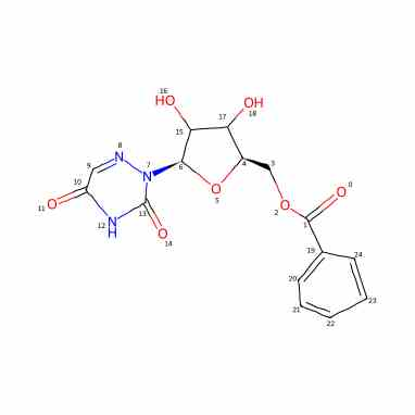 O=C(OC[C@H]1O[C@@H](n2ncc(=O)[nH]c2=O)C(O)C1O)c1ccccc1